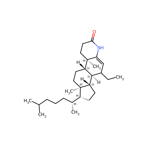 CCC1C=C2NC(=O)CC[C@]2(C)[C@H]2CC[C@]3(C)[C@@H]([C@H](C)CCCC(C)C)CC[C@H]3[C@H]12